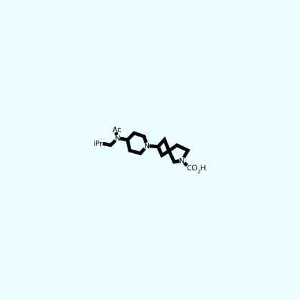 CC(=O)N(CC(C)C)C1CCN(C2CC3(CCN(C(=O)O)C3)C2)CC1